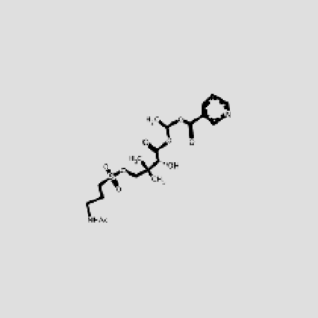 CC(=O)NCCCS(=O)(=O)OCC(C)(C)[C@@H](O)C(=O)OC(C)OC(=O)c1cccnc1